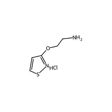 Cl.NCCOc1ccsn1